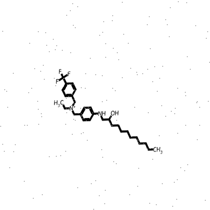 CCCCCCCCCCC(O)CNc1ccc(C[N+](CC)Cc2ccc(C(F)(F)F)cc2)cc1